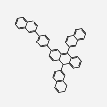 C1=Cc2ccc(C3c4ccccc4C(c4ccc5ccccc5c4)=C4C=C(c5ccc(-c6cnc7ccccc7c6)nc5)C=CC43)cc2CC1